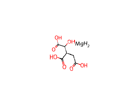 O=C(O)CC(C(=O)O)C(O)C(=O)O.[MgH2]